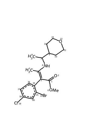 COC(=O)/C(=C(/C)NC(C)C1CCOCC1)c1ccc(Cl)cc1Br